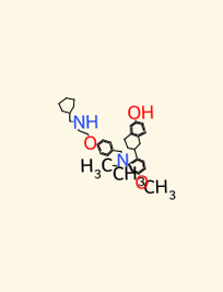 COc1ccc(C2CCc3cc(O)ccc3C2)c(N(Cc2ccc(OCCNCC3CCCCC3)cc2)C(C)C)c1